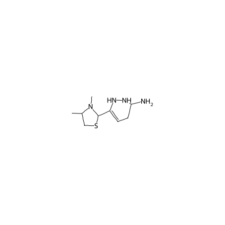 CC1CSC(C2=CCC(N)NN2)N1C